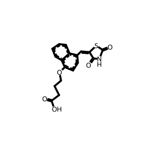 O=C(O)CCCOc1ccc(C=C2SC(=O)NC2=O)c2ccccc12